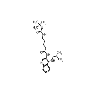 CC(C)CNc1c(NC(=O)CCCCNC(=O)OC(C)(C)C)cnc2ccccc12